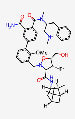 COc1c(CN2O[C@@H](CO)[C@H](C(C)C)[C@H]2C(=O)N[C@H]2C[C@H]3C[C@@H]([C@@H]2C)C3(C)C)cccc1-c1ccc(C(=O)N(C)[C@@H](Cc2ccccc2)CN(C)C)c(C(N)=O)c1